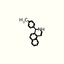 Cc1ccc(C2NC=Cc3c2ccc2ccccc32)cc1